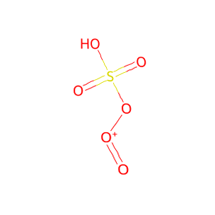 O=[O+]OS(=O)(=O)O